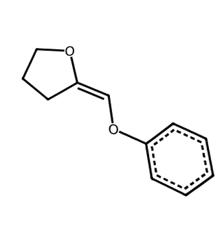 C(Oc1ccccc1)=C1CCCO1